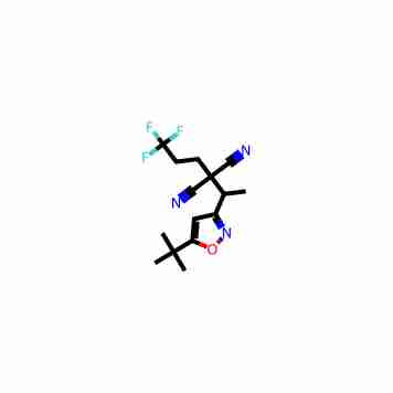 CC(c1cc(C(C)(C)C)on1)C(C#N)(C#N)CCC(F)(F)F